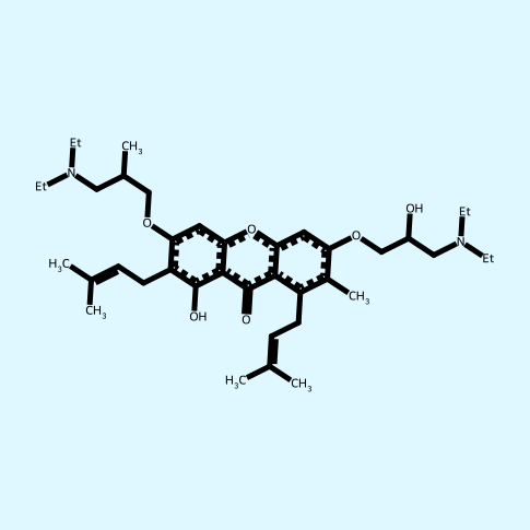 CCN(CC)CC(C)COc1cc2oc3cc(OCC(O)CN(CC)CC)c(C)c(CC=C(C)C)c3c(=O)c2c(O)c1CC=C(C)C